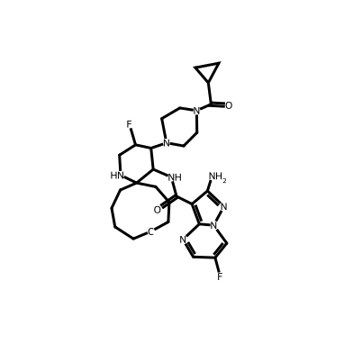 Nc1nn2cc(F)cnc2c1C(=O)NC1C(N2CCN(C(=O)C3CC3)CC2)C(F)CNC12CCCCCCCC2